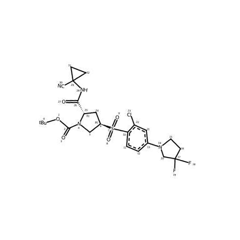 CC(C)(C)OC(=O)N1C[C@H](S(=O)(=O)c2ccc(N3CCC(F)(F)C3)cc2Cl)C[C@H]1C(=O)NC1(C#N)CC1